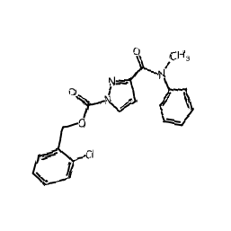 CN(C(=O)c1ccn(C(=O)OCc2ccccc2Cl)n1)c1ccccc1